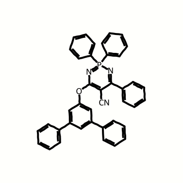 N#CC1=C(Oc2cc(-c3ccccc3)cc(-c3ccccc3)c2)N=P(c2ccccc2)(c2ccccc2)N=C1c1ccccc1